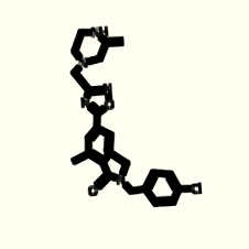 C=C1CN(Cc2noc(-c3cc(C)c4c(c3)CN(Cc3ccc(Cl)cc3)C4=O)n2)CCN1